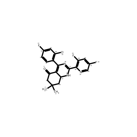 CC1(C)CC(=O)C2=C(c3ccc(F)cc3Cl)N=C(c3ncc(F)cc3F)NC2C1